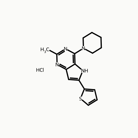 Cc1nc(N2CCCCC2)c2[nH]c(-c3cccs3)cc2n1.Cl